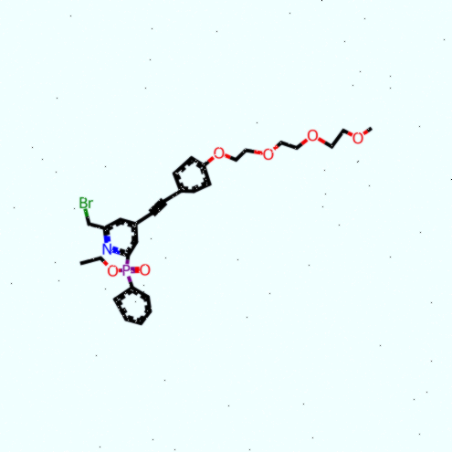 CCOP(=O)(c1ccccc1)c1cc(C#Cc2ccc(OCCOCCOCCOC)cc2)cc(CBr)n1